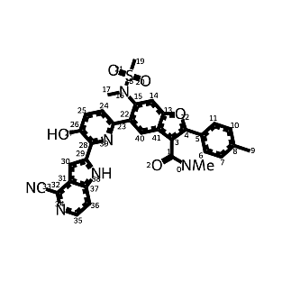 CNC(=O)c1c(-c2ccc(C)cc2)oc2cc(N(C)S(C)(=O)=O)c(-c3ccc(O)c(-c4cc5c(C#N)nccc5[nH]4)n3)cc12